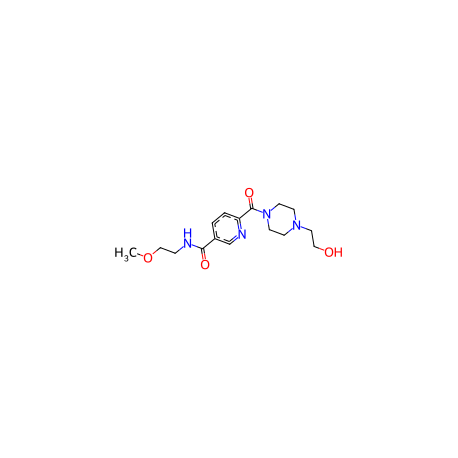 COCCNC(=O)c1ccc(C(=O)N2CCN(CCO)CC2)nc1